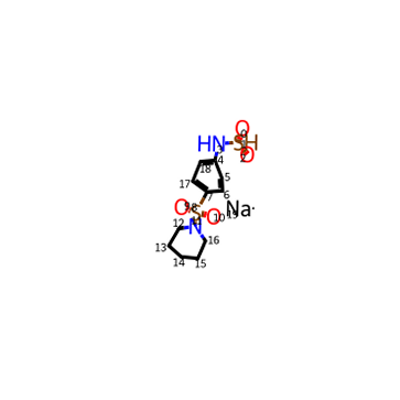 O=[SH](=O)Nc1ccc(S(=O)(=O)N2CCCCC2)cc1.[Na]